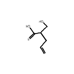 C=CCC(CO)C(O)=S